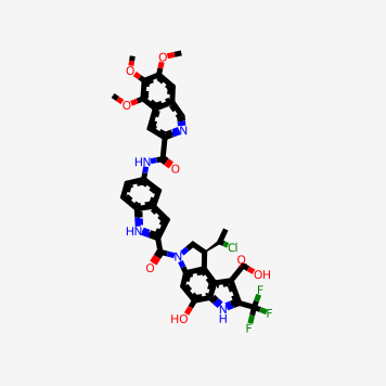 COc1cc2cnc(C(=O)Nc3ccc4[nH]c(C(=O)N5C[C@@H](C(C)Cl)c6c5cc(O)c5[nH]c(C(F)(F)F)c(C(=O)O)c65)cc4c3)cc2c(OC)c1OC